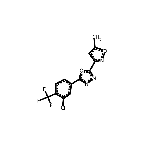 Cc1cc(-c2nnc(-c3ccc(C(F)(F)F)c(Cl)c3)o2)no1